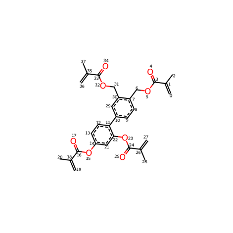 C=C(C)C(=O)OCc1ccc(-c2ccc(OC(=O)C(=C)C)cc2OC(=O)C(=C)C)cc1COC(=O)C(=C)C